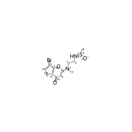 CN(CCN[S+](C)[O-])c1cc(=O)c2scc(Br)c2o1